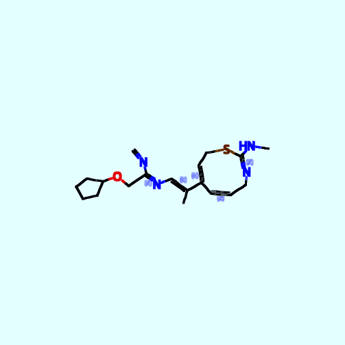 C=N\C(COC1CCCC1)=N/C=C(C)/C1=C/CS/C(NC)=N\C/C=C\1